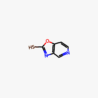 Sc1nc2cnccc2o1